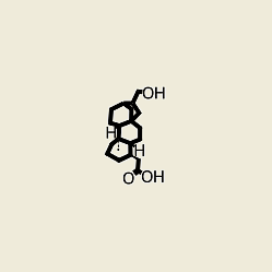 C[C@@]12CCC[C@H](CC(=O)O)[C@H]1CCC13CC(CO)C(CC[C@H]12)C3